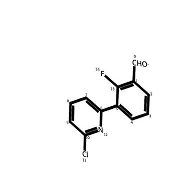 O=[C]c1cccc(-c2cccc(Cl)n2)c1F